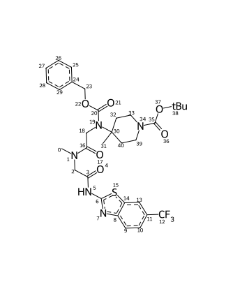 CN(CC(=O)Nc1nc2ccc(C(F)(F)F)cc2s1)C(=O)CN(C(=O)OCc1ccccc1)C1(C)CCN(C(=O)OC(C)(C)C)CC1